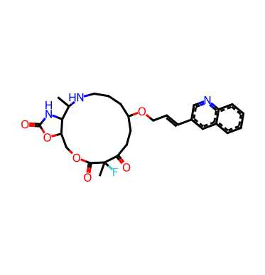 CC1NCCCC(OC/C=C/c2cnc3ccccc3c2)CCC(=O)C(C)(F)C(=O)OCC2OC(=O)NC12